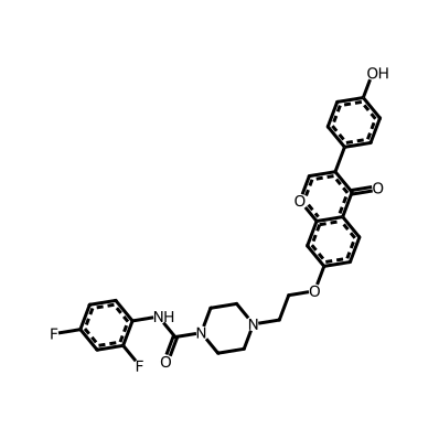 O=C(Nc1ccc(F)cc1F)N1CCN(CCOc2ccc3c(=O)c(-c4ccc(O)cc4)coc3c2)CC1